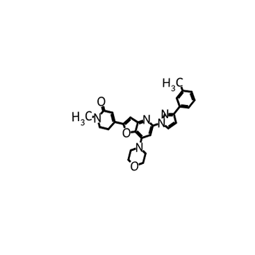 Cc1cccc(-c2ccn(-c3cc(N4CCOCC4)c4oc(C5=CC(=O)N(C)CC5)cc4n3)n2)c1